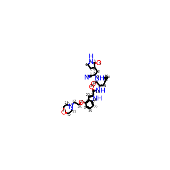 N#CC(CC1CCNC1=O)NC(=O)C(CC1CC1)NC(=O)c1cc2c(OCCN3CCOCC3)cccc2[nH]1